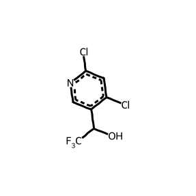 OC(c1cnc(Cl)cc1Cl)C(F)(F)F